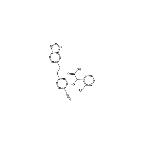 Cc1ccccc1C(Oc1cc(OCc2ccc3ncoc3c2)ccc1C#N)C(=O)O